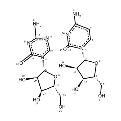 Nc1ccn([C@@H]2O[C@H](CO)[C@@H](O)[C@H]2O)c(=O)n1.Nc1ncn([C@@H]2O[C@H](CO)[C@@H](O)[C@H]2O)c(=O)n1